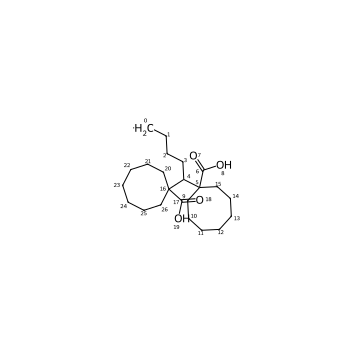 [CH2]CCCC(C1(C(=O)O)CCCCCCC1)C1(C(=O)O)CCCCCCC1